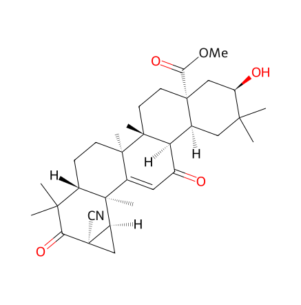 COC(=O)[C@@]12CC[C@]3(C)[C@H](C(=O)C=C4[C@@]5(C)[C@H]6C[C@@]6(C#N)C(=O)C(C)(C)[C@@H]5CC[C@]43C)[C@@H]1CC(C)(C)[C@H](O)C2